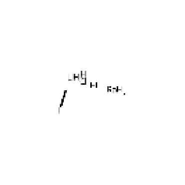 CI.Cl.I.[LiH].[RaH2]